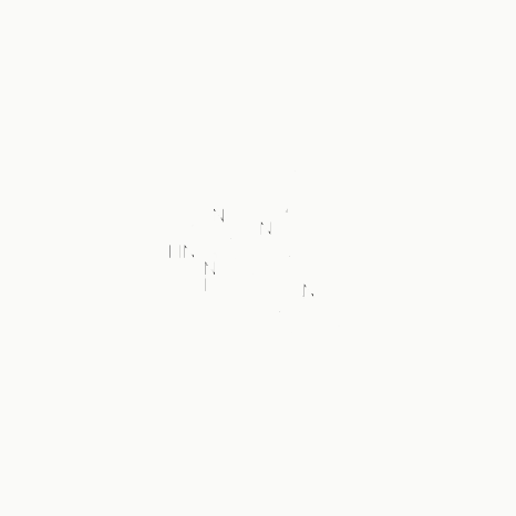 C1=Nc2c(c(Cc3ccccn3)cn2C2CCC2)NN1